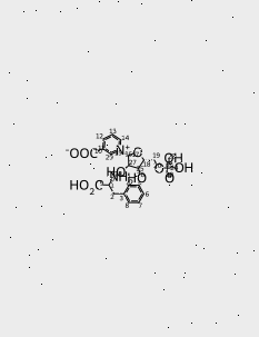 NC(Cc1ccccc1)C(=O)O.O=C([O-])c1ccc[n+]([C@@H]2O[C@H](COP(=O)(O)O)[C@@H](O)[C@H]2O)c1